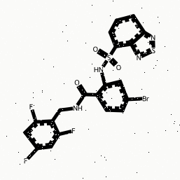 O=C(NCc1c(F)cc(F)cc1F)c1ccc(Br)cc1NS(=O)(=O)c1cccc2nsnc12